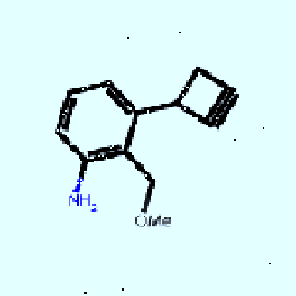 COCc1c(N)cccc1C1C#CC1